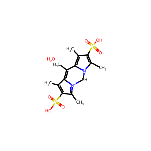 CC1=C(S(=O)(=O)O)C(C)=[N+]2Bn3c(C)c(S(=O)(=O)O)c(C)c3C(C)=C12.O